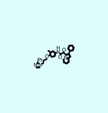 Cc1cc(NC(=O)C(=O)c2c(-c3ccccc3)cc3ccccn23)ccc1OCCCn1ccnc1C(C)C